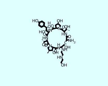 C[C@@H](O)C1NC(=O)C(N)C[C@@H](O)C(NCCNCCO)NC(=O)C2[C@@H](O)[C@@H](C)CN2C(=O)C([C@@H](C)O)NC(=O)C([C@H](O)[C@@H](O)c2ccc(O)cc2)NC(=O)C2C[C@@H](O)CN2C1=O